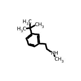 CNCCc1cccc(C(C)(C)C)c1